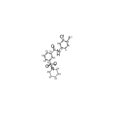 O=C(Nc1ccc(F)c(Cl)c1)c1cccc(S(=O)(=O)N2CCCCC2)c1